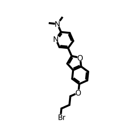 CN(C)c1ccc(-c2cc3cc(OCCCBr)ccc3o2)cn1